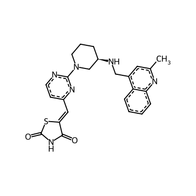 Cc1cc(CN[C@@H]2CCCN(c3nccc(/C=C4\SC(=O)NC4=O)n3)C2)c2ccccc2n1